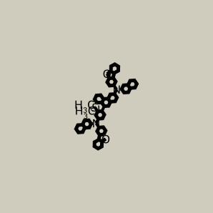 C[Si]1(C)c2cc(N(c3ccc4ccccc4c3)c3ccc4oc5ccccc5c4c3)ccc2-c2cc3ccc(N(c4ccc5ccccc5c4)c4ccc5oc6ccccc6c5c4)cc3c3cccc1c23